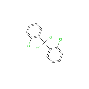 Clc1ccccc1C(Cl)(Cl)c1ccccc1Cl